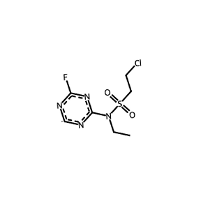 CCN(c1n[c]nc(F)n1)S(=O)(=O)CCCl